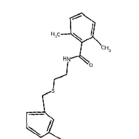 Cc1cccc(C)c1C(=O)NCCSCc1cccc(Cl)c1